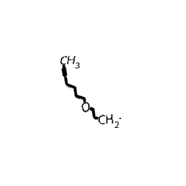 [CH2]CCOCCCCC#CC